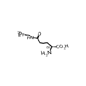 CC(C)CNC(=O)CC[C@H](N)C(=O)O